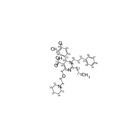 CCSC1=NC(COCCN2CCCCC2)=C(C(=O)O)C(c2ccc(Cl)c(Cl)c2)N1CCCc1ccccc1